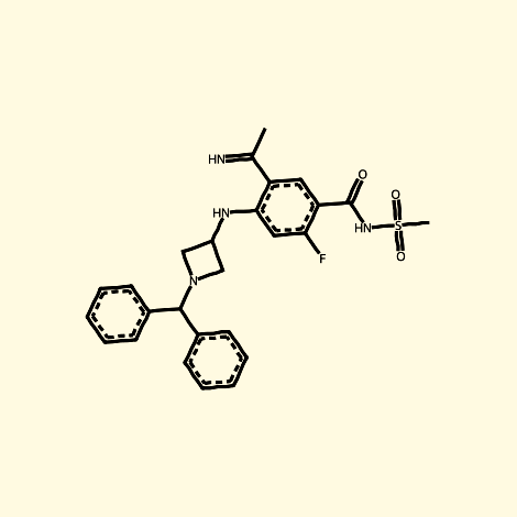 CC(=N)c1cc(C(=O)NS(C)(=O)=O)c(F)cc1NC1CN(C(c2ccccc2)c2ccccc2)C1